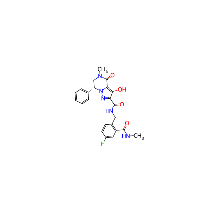 CNC(=O)c1cc(F)ccc1CNC(=O)c1nn2c(c1O)C(=O)N(C)C[C@H]2c1ccccc1